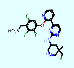 CC1(CF)CNCC(Nc2nccc(-c3cccnc3Oc3cc(F)c(CS(=O)(=O)O)c(F)c3F)n2)C1